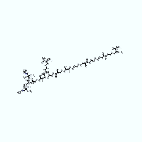 C[C@@H](CCCCNC(=O)COCCOCCNC(=O)COCCOCCNC(=O)CCCC(=O)NCCCC[C@H](NC(=O)CCCC(=O)NC(CNC(C)(C)/C=N/O)CNC(C)(C)/C=N/O)C(=O)NCCCC[C@H](C)C(N)=O)C(N)=O